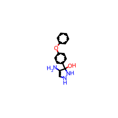 NC1=CNNC1(O)c1ccc(Oc2ccccc2)cc1